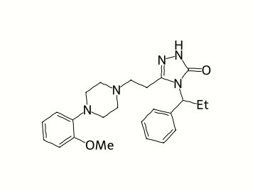 CCC(c1ccccc1)n1c(CCN2CCN(c3ccccc3OC)CC2)n[nH]c1=O